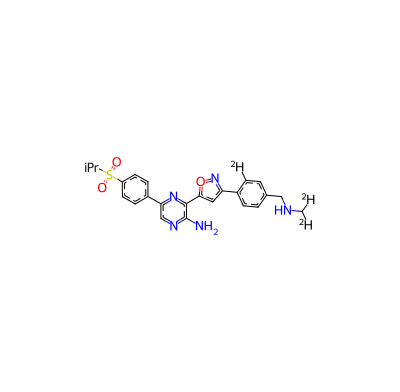 [2H]c1cc(CNC([2H])[2H])ccc1-c1cc(-c2nc(-c3ccc(S(=O)(=O)C(C)C)cc3)cnc2N)on1